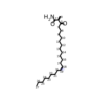 C=C(C(N)=O)C(=O)CCCCCCCCCCC/C=C\CCCCCCCC